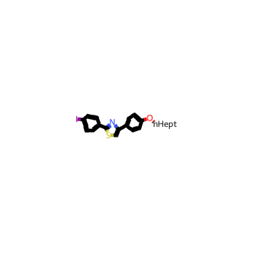 CCCCCCCOc1ccc(-c2csc(-c3ccc(I)cc3)n2)cc1